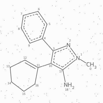 Cn1nc(-c2ccccc2)c(C2=CCCCC2)c1N